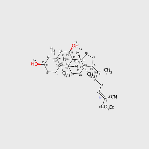 CCOC(=O)/C(C#N)=C/CC[C@@H](C)[C@H]1CC[C@H]2[C@@H]3[C@H](O)C[C@@H]4C[C@H](O)CC[C@]4(C)[C@H]3CC[C@]12C